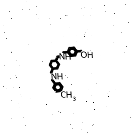 Cc1ccc(CNCC2CCC(CNCc3ccc(CO)cc3)CC2)cc1